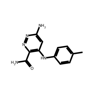 Cc1ccc(Nc2cc(N)nnc2C(N)=O)cc1